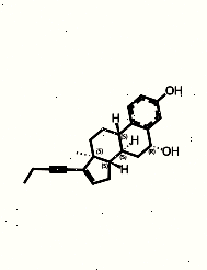 CCC#CC1=CC[C@H]2[C@@H]3C[C@@H](O)c4cc(O)ccc4[C@H]3CC[C@]12C